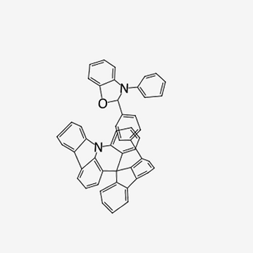 c1ccc(N2c3ccccc3OC2c2ccc(-c3cccc4c3C3(c5ccccc5-4)c4ccccc4-n4c5ccccc5c5cccc3c54)cc2)cc1